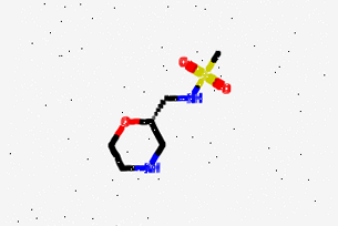 CS(=O)(=O)NC[C@@H]1CNCCO1